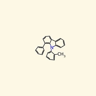 Cc1ccccc1-n1c2ccccc2c2cccc(-c3ccccc3)c21